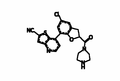 N#Cc1cc2nccc(-c3cc(Cl)cc4c3OC(C(=O)N3CCNCC3)C4)c2s1